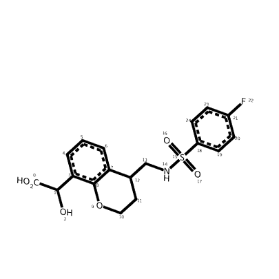 O=C(O)C(O)c1cccc2c1OCCC2CNS(=O)(=O)c1ccc(F)cc1